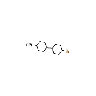 CCCC1CCC(C2CCC(Br)CC2)CC1